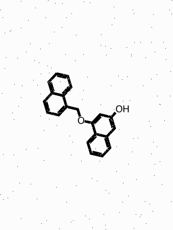 Oc1cc(OCc2cccc3ccccc23)c2ccccc2c1